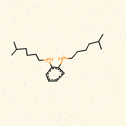 CC(C)CCCCPc1ccccc1PCCCCC(C)C